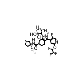 CC(n1nc(-c2cc(OC(F)C(F)F)ncc2F)c2c1CC(C(=O)NC1(C)CCSC1)CC2)C(C)(C)O